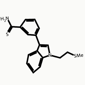 CSCCn1cc(-c2cccc(C(N)=S)c2)c2ccccc21